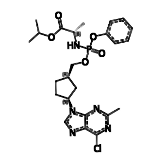 Cc1nc(Cl)c2ncn([C@H]3CC[C@@H](COP(=O)(N[C@@H](C)C(=O)OC(C)C)Oc4ccccc4)C3)c2n1